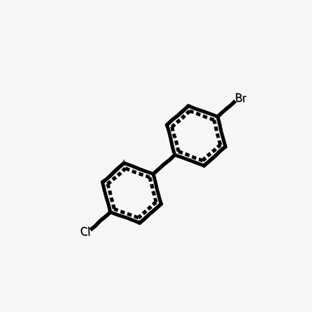 Clc1c[c]c(-c2ccc(Br)cc2)cc1